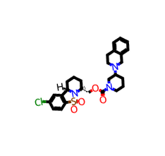 O=C(OC[C@H]1CCC[C@H]2c3cc(Cl)ccc3S(=O)(=O)N12)N1CCCC(N2CCc3ccccc3C2)C1